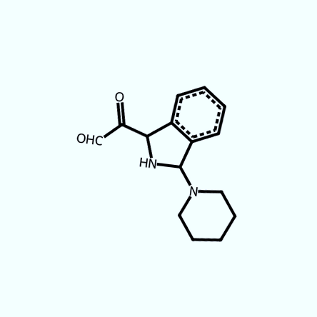 O=CC(=O)C1NC(N2CCCCC2)c2ccccc21